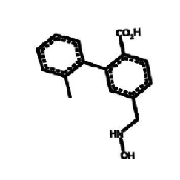 Cc1ccccc1-c1cc(CNO)ccc1C(=O)O